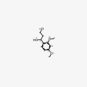 COc1ccc(C(O)CCCl)c(OC)c1